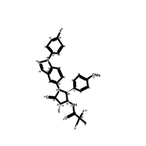 COc1ccc([C@@H]2[C@@H](NC(=O)C(C)(F)F)[C@H](C)C(=O)N2c2ccc3c(cnn3-c3ccc(F)cc3)c2)cc1